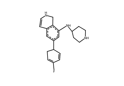 FC1=CCC(c2cc3c(c(NC4CCNCC4)c2)CNC=C3)C=C1